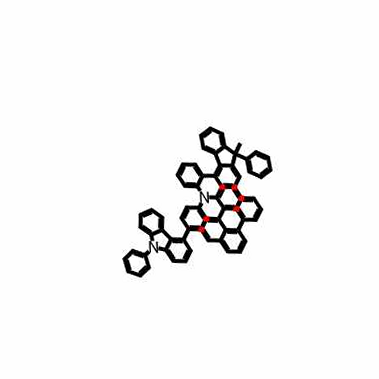 CC1(c2ccccc2)c2ccccc2-c2c(-c3ccccc3N(c3ccc(-c4cccc5c4c4ccccc4n5-c4ccccc4)cc3)c3ccccc3-c3cccc4cccc(-c5ccccc5)c34)cccc21